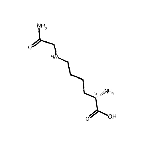 NC(=O)CNCCCC[C@H](N)C(=O)O